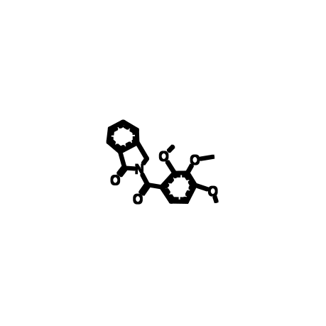 COc1ccc(C(=O)N2Cc3ccccc3C2=O)c(OC)c1OC